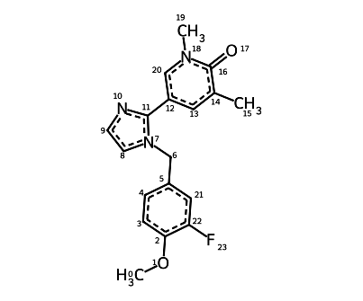 COc1ccc(Cn2ccnc2-c2cc(C)c(=O)n(C)c2)cc1F